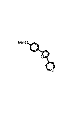 COc1ccc(-c2ccc(-c3ccncc3)o2)cc1